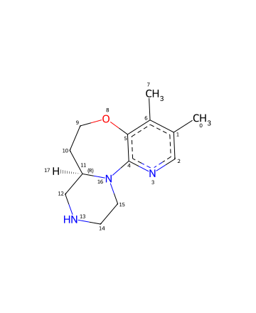 Cc1cnc2c(c1C)OCC[C@@H]1CNCCN21